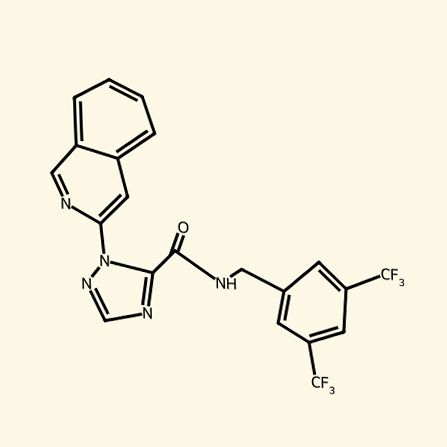 O=C(NCc1cc(C(F)(F)F)cc(C(F)(F)F)c1)c1ncnn1-c1cc2ccccc2cn1